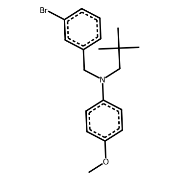 COc1ccc(N(Cc2cccc(Br)c2)CC(C)(C)C)cc1